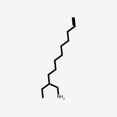 C=CCCCCCCCC(CC)CN